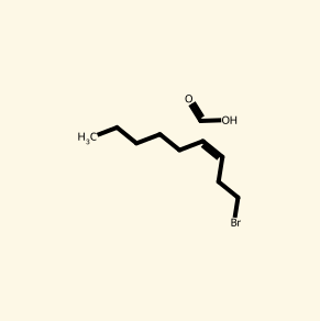 CCCCC/C=C\CCBr.O=CO